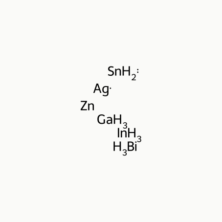 [Ag].[BiH3].[GaH3].[InH3].[SnH2].[Zn]